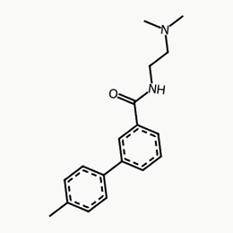 Cc1ccc(-c2cccc(C(=O)NCCN(C)C)c2)cc1